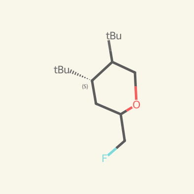 CC(C)(C)C1COC(CF)C[C@@H]1C(C)(C)C